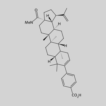 C=C(C)[C@@H]1CC[C@]2(C(=O)NC)CC[C@]3(C)[C@H](CC[C@@H]4[C@@]5(C)CC=C(c6ccc(C(=O)O)cc6)C(C)(C)[C@@H]5CC[C@]43C)[C@@H]12